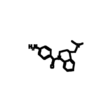 CN(C)CC1CCN(C(=O)c2ccc(N)cc2)c2ccccc21